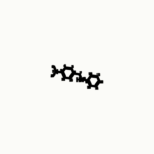 CN(C)c1ccc(CNc2ccccc2)cc1